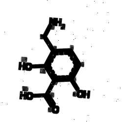 NCc1ccc(O)c(C(=O)O)c1O